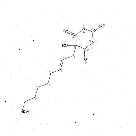 CCCCCCCCCCCCCCCC=CCC1(O)C(=O)NC(=O)NC1=O